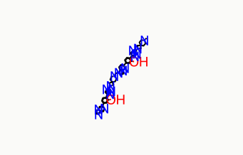 CN1CCC2(CC1)CN(c1ncc(-c3ccc(-c4ccc5n(cc[n+]5CN5CCC6(CC5)CN(c5ncc(-c7ccc(-c8cn9ccnc9cn8)cc7O)nn5)C6)n4)cc3O)nn1)C2